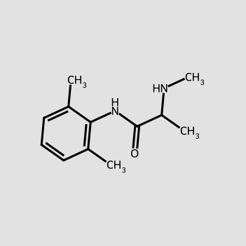 CNC(C)C(=O)Nc1c(C)cccc1C